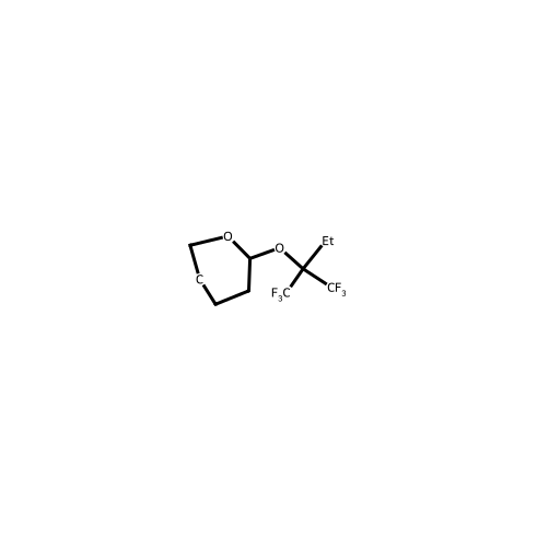 CCC(OC1CCCCO1)(C(F)(F)F)C(F)(F)F